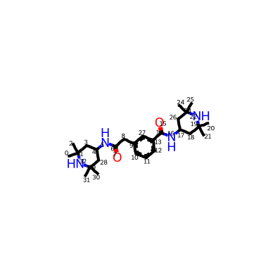 CC1(C)CC(NC(=O)Cc2cccc(C(=O)NC3CC(C)(C)NC(C)(C)C3)c2)CC(C)(C)N1